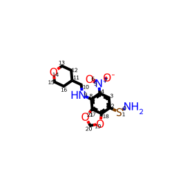 NSc1cc([N+](=O)[O-])c(NCC2CCOCC2)c2c1OCO2